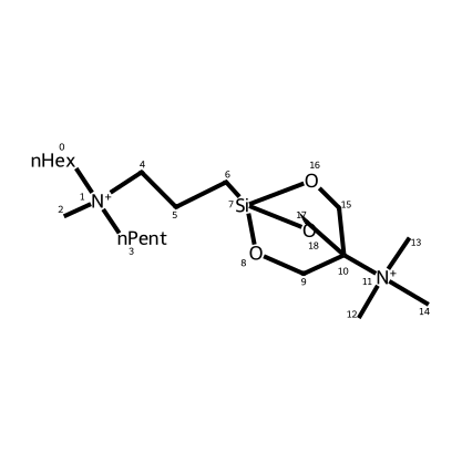 CCCCCC[N+](C)(CCCCC)CCC[Si]12OCC([N+](C)(C)C)(CO1)CO2